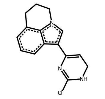 ClC1=NC(c2cn3c4c(cccc24)CCC3)=CCN1